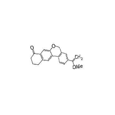 C=C(OC)c1ccc2c(c1)COc1cc3c(cc1-2)CCCC3=O